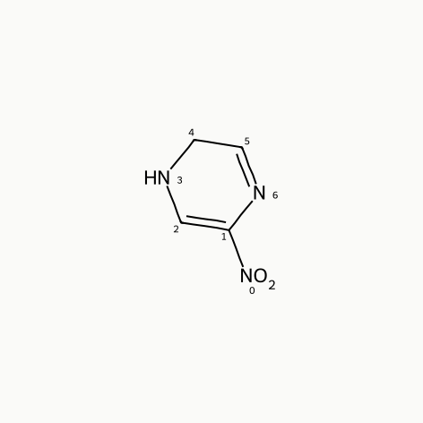 O=[N+]([O-])C1=CNCC=N1